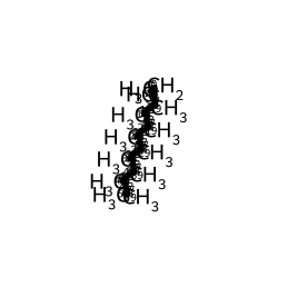 C=CC(C)(O)CCC=C(C)CCC=C(C)CCC=C(C)CCC=C(C)CCC=C(C)CCC=C(C)CCC=C(C)CCC=C(C)CCC=C(C)C